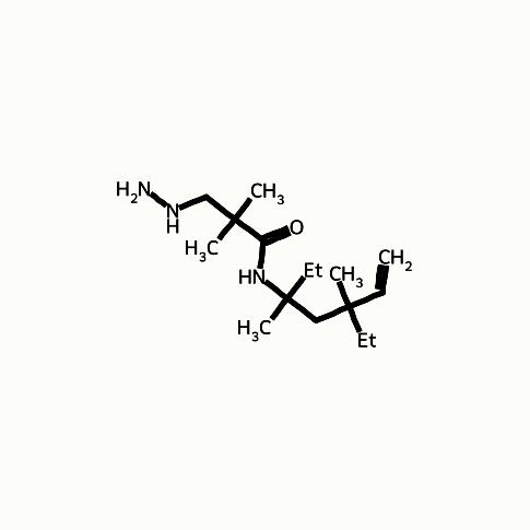 C=CC(C)(CC)CC(C)(CC)NC(=O)C(C)(C)CNN